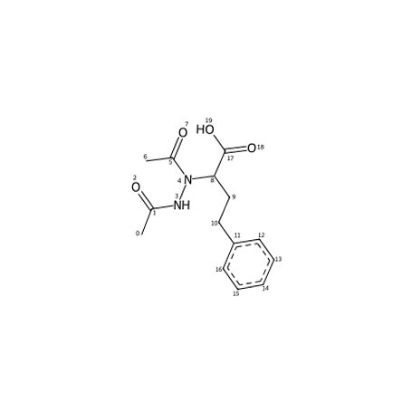 CC(=O)NN(C(C)=O)C(CCc1ccccc1)C(=O)O